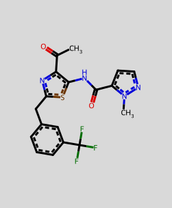 CC(=O)c1nc(Cc2cccc(C(F)(F)F)c2)sc1NC(=O)c1ccnn1C